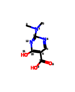 CN(C)c1ncc(C(=O)O)c(O)n1